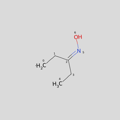 [CH2]C/C(CC)=N\O